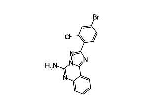 Nc1nc2ccccc2c2nc(-c3ccc(Br)cc3Cl)nn12